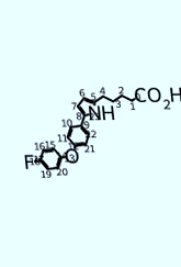 O=C(O)CCCCc1ccc(-c2ccc(Oc3ccc(F)cc3)cc2)[nH]1